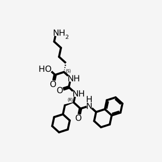 NCCCC[C@H](NC(=O)N[C@H](CC1CCCCC1)C(=O)NC1CCCc2ccccc21)C(=O)O